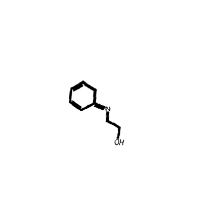 OCCN=C1C=CC=CC1